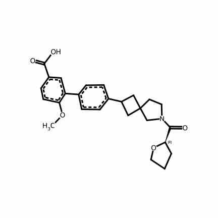 COc1ccc(C(=O)O)cc1-c1ccc(C2CC3(CCN(C(=O)[C@H]4CCCO4)C3)C2)cc1